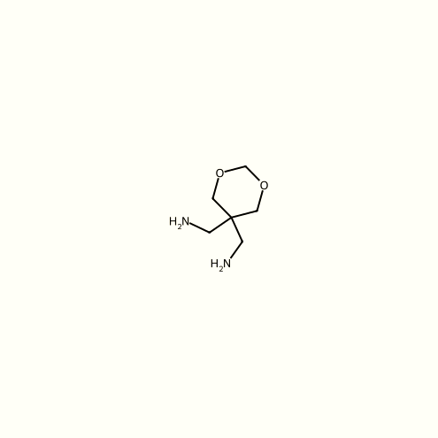 NCC1(CN)COCOC1